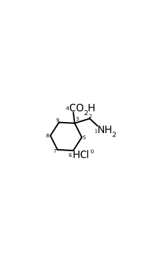 Cl.NCC1(C(=O)O)CCCCC1